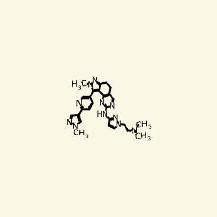 CN(C)CCn1ccc(Nc2ncc3c(n2)-c2c(nn(C)c2-c2ccc(-c4cnn(C)c4)nc2)CC3)n1